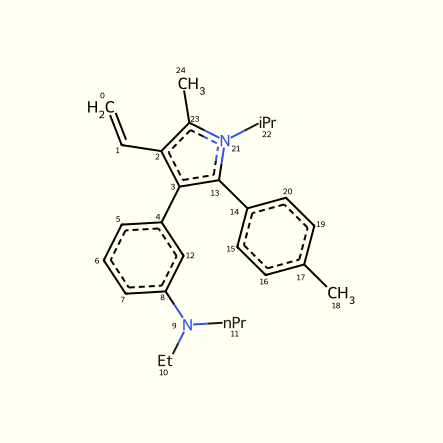 C=Cc1c(-c2cccc(N(CC)CCC)c2)c(-c2ccc(C)cc2)n(C(C)C)c1C